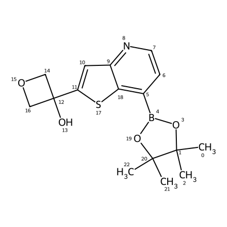 CC1(C)OB(c2ccnc3cc(C4(O)COC4)sc23)OC1(C)C